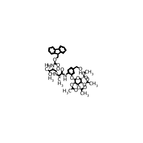 COC(=O)[C@H]1O[C@@H](Oc2cc(CO)ccc2NC(=O)[C@H](C)NC(=O)[C@@H](NC(=O)OCC2c3ccccc3-c3ccccc32)C(C)C)[C@H](OC(C)=O)[C@@H](OC(C)=O)[C@@H]1OC(C)=O